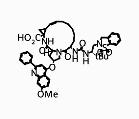 COc1ccc2c(O[C@@H]3C[C@H]4C(=O)N[C@]5(C(=O)O)CC5/C=C\CCCCC[C@H](NC(=O)N[C@H](CN5Cc6ccccc6S5(=O)=O)C(C)(C)C)C(=O)N4C3)cc(-c3ccccc3)nc2c1